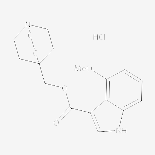 COc1cccc2[nH]cc(C(=O)OCC34CCN(CC3)CC4)c12.Cl